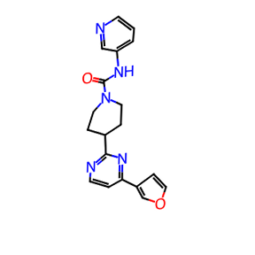 O=C(Nc1cccnc1)N1CCC(c2nccc(-c3ccoc3)n2)CC1